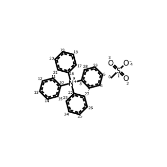 CS(=O)(=O)[O-].c1ccc([N+](c2ccccc2)(c2ccccc2)c2ccccc2)cc1